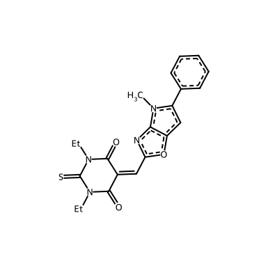 CCN1C(=O)C(=Cc2nc3c(cc(-c4ccccc4)n3C)o2)C(=O)N(CC)C1=S